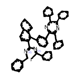 I/C(=N\C(=N/Cc1ccccc1)c1ccc2ccccc2c1-c1cccc(-c2nc(-c3ccccc3)c(-c3ccccc3)nc2-c2ccccc2)c1)c1ccccc1